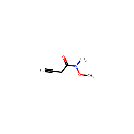 C#CCC(=O)N(C)OC